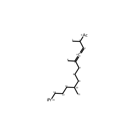 CC(=O)C(C)C=C=C(C)CCCC(C)CCCC(C)C